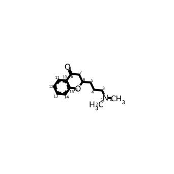 CN(C)CCCC1CC(=O)c2ccccc2O1